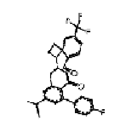 CC(C)c1cc2c(c(-c3ccc(F)cc3)c1)C(=O)CC(C1CCC13CC(C(F)(F)F)=CC=C3C=O)C2